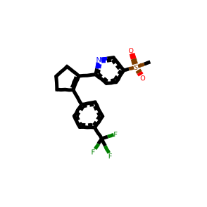 CS(=O)(=O)c1ccc(C2=C(c3ccc(C(F)(F)F)cc3)CCC2)nc1